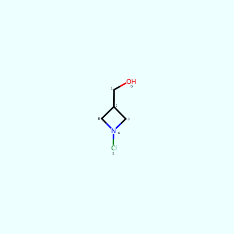 OCC1CN(Cl)C1